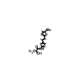 CC(O)C(=O)Nc1ncc(C=Cc2ncc(C(C)(C)C)o2)s1